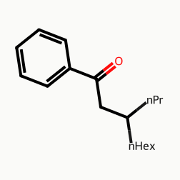 CCCCCCC(CCC)CC(=O)c1ccccc1